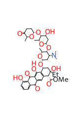 CCC1(O)CC(O[C@H]2CC(N(C)C)C(OC3CC(O)C(O[C@H]4CCC(=O)C(C)O4)C(C)O3)C(C)O2)c2c(cc3c(c2O)C(=O)c2c(O)cccc2C3=O)[C@H]1C(=O)OC